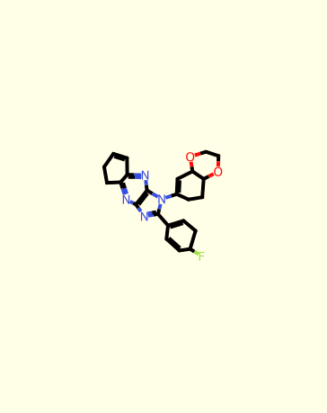 FC1C=CC(c2nc3nc4c(nc3n2C2=CC3OCCOC3CC2)C=CCC4)=CC1